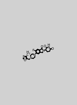 Cc1ncoc1CN1CCN(c2cc3c(cc2F)C(=O)N(C2CCC(=O)NC2=O)C3)CC1